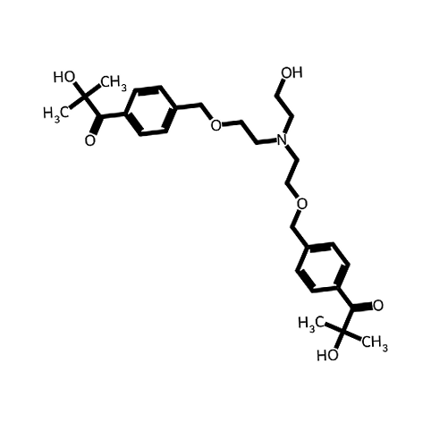 CC(C)(O)C(=O)c1ccc(COCCN(CCO)CCOCc2ccc(C(=O)C(C)(C)O)cc2)cc1